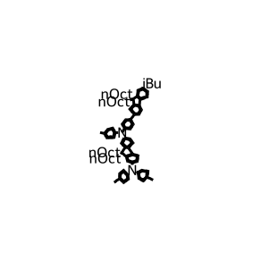 CCCCCCCCC1(CCCCCCCC)c2cc(-c3ccc(N(c4ccc(C)cc4)c4ccc5c(c4)C(CCCCCCCC)(CCCCCCCC)c4cc(N(c6ccc(C)cc6)c6ccc(C)cc6)ccc4-5)cc3)ccc2-c2ccc(C(C)CC)cc21